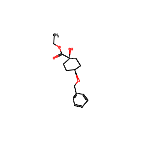 CCOC(=O)[C@]1(O)CC[C@@H](OCc2ccccc2)CC1